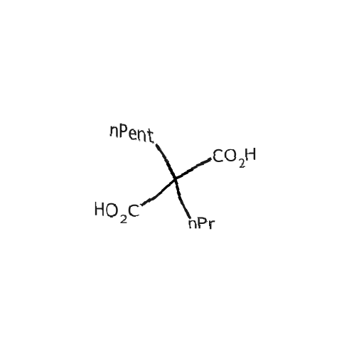 CCCCCC(CCC)(C(=O)O)C(=O)O